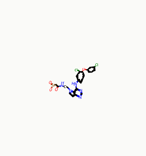 O=C(C[SH](=O)=O)NCCn1ccc2ncnc(Nc3ccc(Oc4cccc(Cl)c4)c(Cl)c3)c21